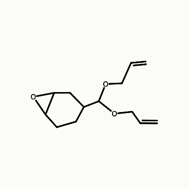 C=CCOC(OCC=C)C1CCC2OC2C1